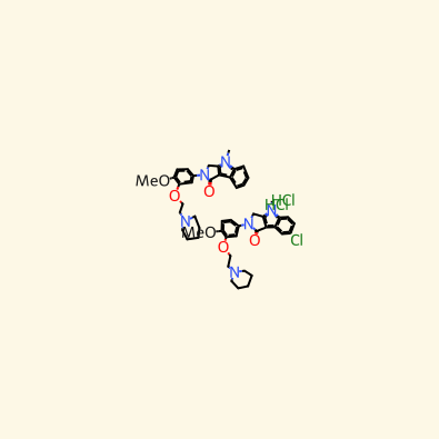 COc1ccc(N2Cc3c(c4cc(Cl)ccc4n3C)C2=O)cc1OCCN1CCCCC1.COc1ccc(N2Cc3c(c4ccccc4n3C)C2=O)cc1OCCN1CCCCC1.Cl.Cl